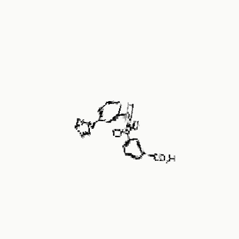 O=C(O)c1cccc(S(=O)(=O)Nc2cccc(-n3cccn3)c2)c1